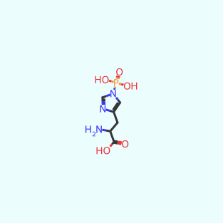 NC(Cc1cn(P(=O)(O)O)cn1)C(=O)O